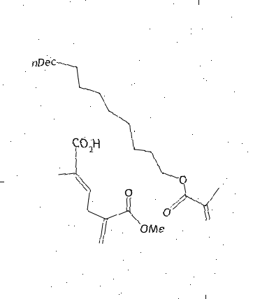 C=C(C)C(=O)OCCCCCCCCCCCCCCCCCC.C=C(CC=C(C)C(=O)O)C(=O)OC